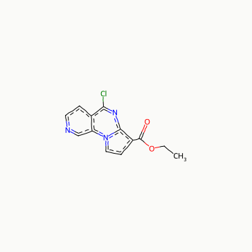 CCOC(=O)c1ccn2c1nc(Cl)c1ccncc12